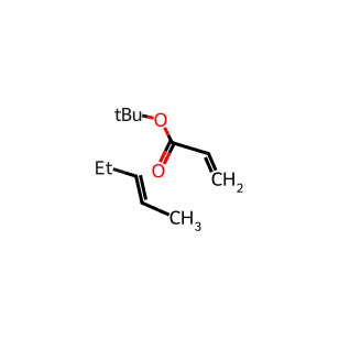 C=CC(=O)OC(C)(C)C.CC=CCC